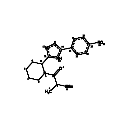 CSC(C)C(=O)N1CCCCC1c1ncc(-c2ccc([N+](=O)[O-])cc2)[nH]1